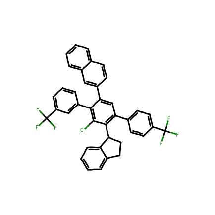 FC(F)(F)c1ccc(-c2[c]c(-c3ccc4ccccc4c3)c(-c3cccc(C(F)(F)F)c3)c(Cl)c2C2CCc3ccccc32)cc1